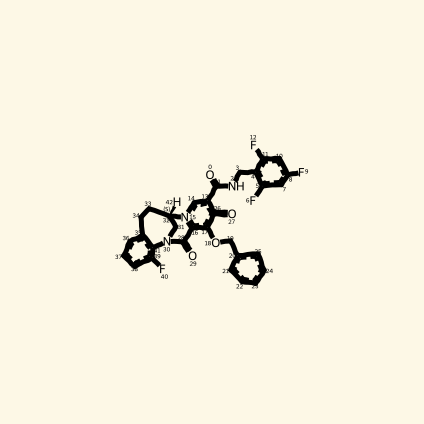 O=C(NCc1c(F)cc(F)cc1F)c1cn2c(c(OCc3ccccc3)c1=O)C(=O)N1C[C@@H]2CCc2cccc(F)c21